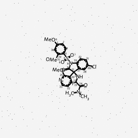 COc1ccc(S(=O)(=O)N2C(=O)C(NC(C(=O)N(C)C)C(C)C)(c3cccnc3OC)c3cc(Cl)ccc32)c(OC)c1